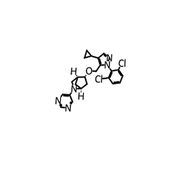 Clc1cccc(Cl)c1-n1ncc(C2CC2)c1CO[C@@H]1C[C@@H]2C[C@H]1CN2c1cncnc1